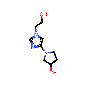 OCCn1cnc(N2CCC(O)C2)c1